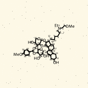 CCN(CCOC)C[C@H](C)CCC[C@@H](C)[C@H]1[C@@H](O[C@@H]2OC[C@H](O)[C@H](O[C@@H]3OC[C@@H](O)[C@H](O)[C@H]3OC(=O)c3ccc(OC)cc3)[C@H]2OC(C)=O)CC2C3CC=C4C[C@@H](O)CC[C@]4(C)C3CC[C@@]21C